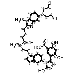 CC(C)c1cc(-c2nnc(O)n2-c2ccc3c(ccn3CCN(C)C(O)CCCc3nc4cc(N(CCCl)CCCl)ccc4n3C)c2)c(O)cc1O